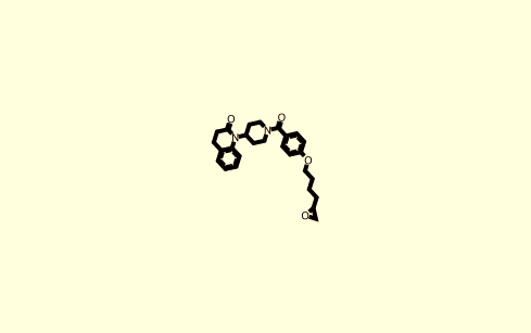 O=C(c1ccc(OCCCCC2CO2)cc1)N1CCC(N2C(=O)CCc3ccccc32)CC1